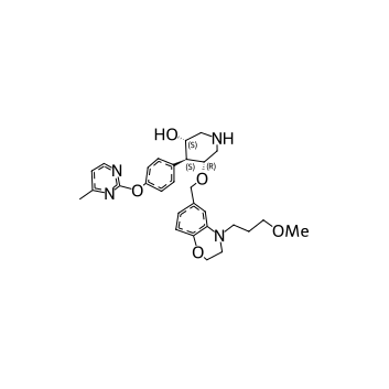 COCCCN1CCOc2ccc(CO[C@H]3CNC[C@@H](O)[C@@H]3c3ccc(Oc4nccc(C)n4)cc3)cc21